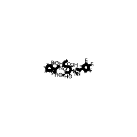 O=C(N[C@@H]1CCO[C@]12O[C@H](CO)[C@H](O)[C@H](n1cc(-c3cc(F)c(F)c(F)c3)nn1)[C@H]2O)c1csc2cccc(Br)c12